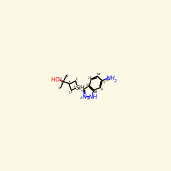 CC(C)(O)C1C[SiH](c2n[nH]c3cc(N)ccc23)C1